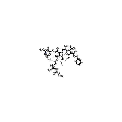 C=CC1OC(/C=C\C2OC(C=C)C(C(=O)OCCNC(=C)NC(=O)OC(C)(C)C)C2C(=O)OCCN/C(C)=N\C(=O)OC(C)(C)C)C(C(=O)OC)C1C(=O)OCc1ccccc1